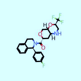 O=C([C@H]1C[C@@H]2NC[C@H](C(F)(F)F)O[C@H]2CO1)N1CCc2ccccc2[C@@H]1c1ccc(F)cc1